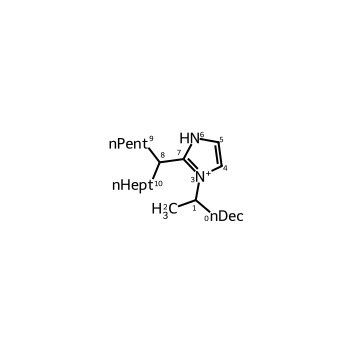 CCCCCCCCCCC(C)[n+]1cc[nH]c1C(CCCCC)CCCCCCC